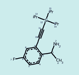 CC(N)c1ccc(F)cc1C#C[Si](C(C)C)(C(C)C)C(C)C